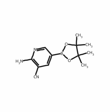 CC1(C)OB(c2cnc(N)c(C#N)c2)OC1(C)C